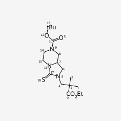 CCOC(=O)C(C)(C)CN1CC2CN(C(=O)OC(C)(C)C)CCN2C1=S